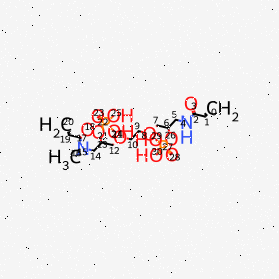 C=CC(=O)NCC(COCCOCC(CN(C)C(=O)C=C)OP(=O)(O)O)OP(=O)(O)O